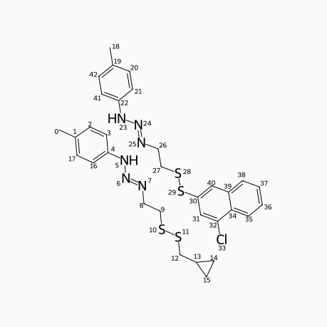 Cc1ccc(NN=NCCSSCC2CC2)cc1.Cc1ccc(NN=NCCSSc2cc(Cl)c3ccccc3c2)cc1